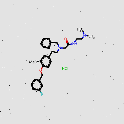 COc1cc(CCN(CC(=O)NCCN(C)C)Cc2ccccc2)ccc1OCc1cccc(F)c1.Cl